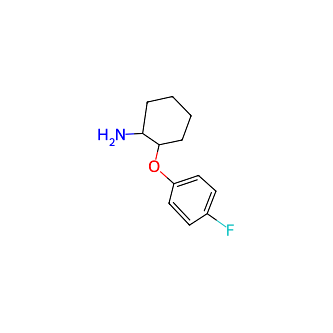 NC1CCCCC1Oc1ccc(F)cc1